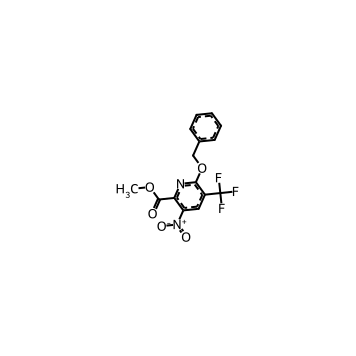 COC(=O)c1nc(OCc2ccccc2)c(C(F)(F)F)cc1[N+](=O)[O-]